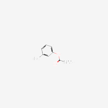 CCC(C)c1cccc(OC(=O)NC)c1